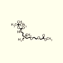 COC(=O)COCCOCC[N+](C)(C)CCNC(=O)OC(C)(C)C